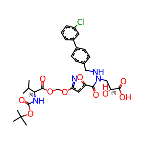 CC(C)[C@H](NC(=O)OC(C)(C)C)C(=O)OCOc1cc(C(=O)N(C[C@@H](O)C(=O)O)NCc2ccc(-c3cccc(Cl)c3)cc2)on1